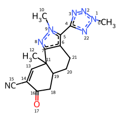 Cn1nnc(-c2c3c(nn2C)C2(C)C=C(C#N)C(=O)CC2CC3)n1